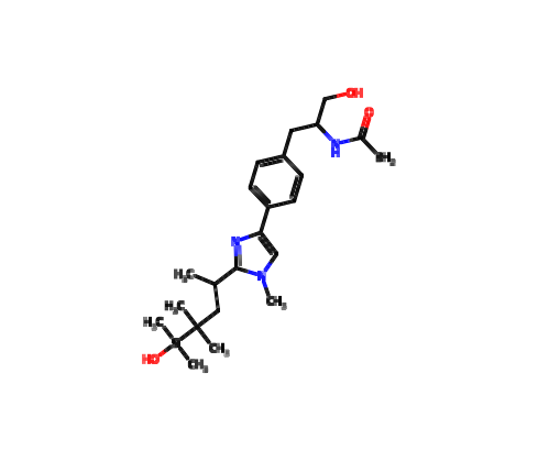 BC(=O)NC(CO)Cc1ccc(-c2cn(C)c(C(C)CC(C)(C)[Si](C)(C)O)n2)cc1